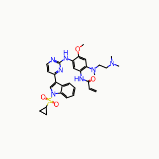 C=CC(=O)Nc1cc(Nc2nccc(-c3cn(S(=O)(=O)C4CC4)c4ccccc34)n2)c(OC)cc1N(C)CCN(C)C